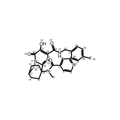 CN(C(=O)c1ccncc1)C12CCC(CC1)Cn1c2nc(C(=O)NCc2ccc(F)cc2)c(O)c1=O